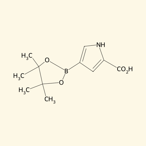 CC1(C)OB(c2c[nH]c(C(=O)O)c2)OC1(C)C